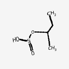 CCC(C)O[Si](=O)O